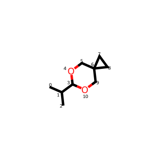 CC(C)C1OCC2(CC2)CO1